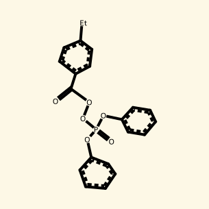 CCc1ccc(C(=O)OOP(=O)(Oc2ccccc2)Oc2ccccc2)cc1